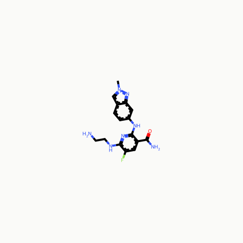 Cn1cc2ccc(Nc3nc(NCCN)c(F)cc3C(N)=O)cc2n1